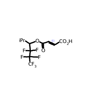 CC(C)C(OC(=O)/C=C/C(=O)O)C(F)(F)C(F)(F)C(F)(F)F